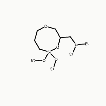 CCO[Si]1(OCC)CCCOCC(CN(CC)CC)O1